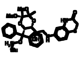 CO[C@@]1(C)O[C@H]([C@@H](O)CNc2ccc3c(c2)NC(=O)CS3)[C@H](C(O[SiH2]C(C)(C)C)(c2ccccc2)c2ccccc2)O[C@]1(C)OC